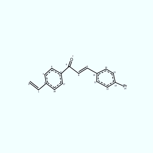 C=Cc1ccc(C(=O)C=Cc2ccc(C(C)C)cc2)cc1